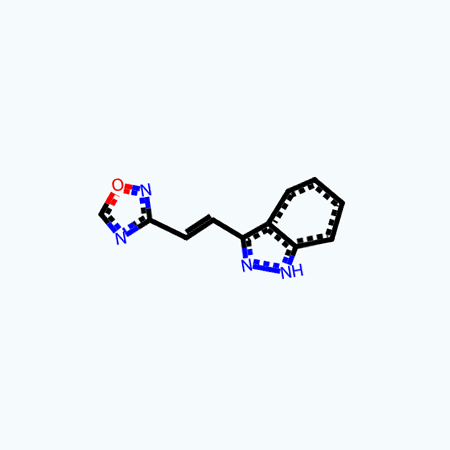 C(=Cc1n[nH]c2ccccc12)c1ncon1